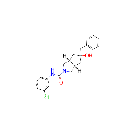 O=C(Nc1cccc(Cl)c1)N1C[C@@H]2CC(O)(Cc3ccccc3)C[C@@H]2C1